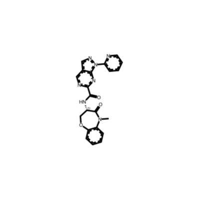 CN1C(=O)[C@@H](NC(=O)c2ncc3cnn(-c4ccccn4)c3n2)COc2ccccc21